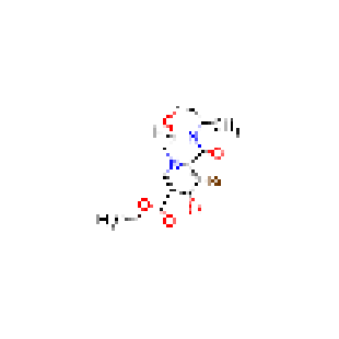 CCOC(=O)c1cn2c(c(Br)c1=O)C(=O)N1[C@H](C)CCO[C@H]1C2